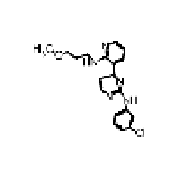 COCCCNc1ncccc1-c1ccnc(Nc2cccc(Cl)c2)n1